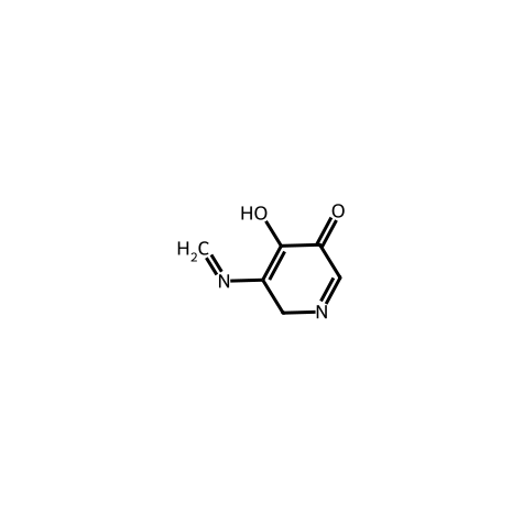 C=NC1=C(O)C(=O)C=NC1